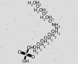 N.N.O.O.O.O.O.O.O.O.O.O.O.O.O=S(=O)(O)O